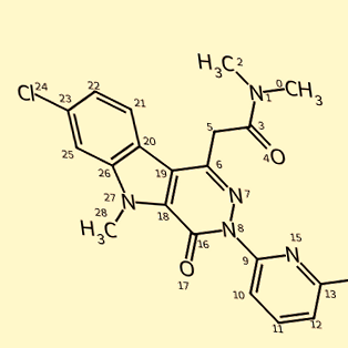 CN(C)C(=O)Cc1nn(-c2cccc(Cl)n2)c(=O)c2c1c1ccc(Cl)cc1n2C